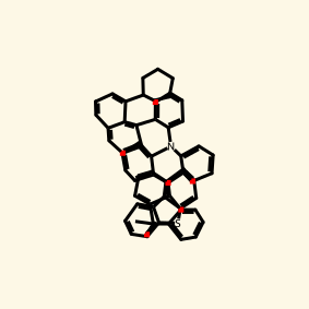 CC1(C)c2ccccc2-c2c(-c3ccccc3N(c3ccccc3-c3cccc4cccc(C5CCCCC5)c34)c3ccccc3-c3cccc4sc5ccccc5c34)cccc21